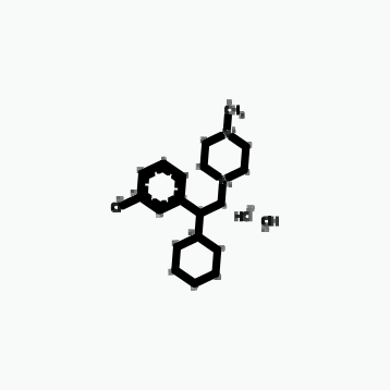 CN1CCN(CC(c2cccc(Cl)c2)C2CCCCC2)CC1.Cl.Cl